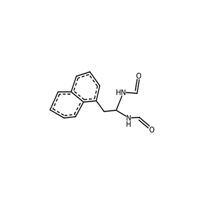 O=CNC(Cc1cccc2ccccc12)NC=O